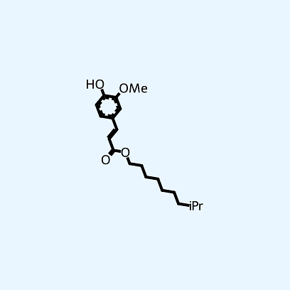 COc1cc(C=CC(=O)OCCCCCCCC(C)C)ccc1O